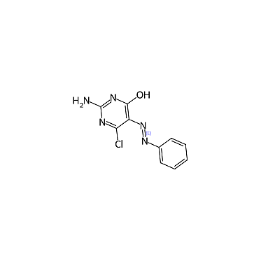 Nc1nc(O)c(/N=N/c2ccccc2)c(Cl)n1